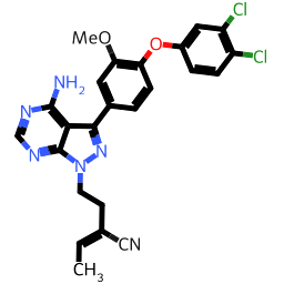 CC=C(C#N)CCn1nc(-c2ccc(Oc3ccc(Cl)c(Cl)c3)c(OC)c2)c2c(N)ncnc21